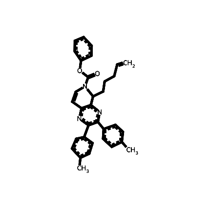 C=CCCCC1c2nc(-c3ccc(C)cc3)c(-c3ccc(C)cc3)nc2C=CN1C(=O)Oc1ccccc1